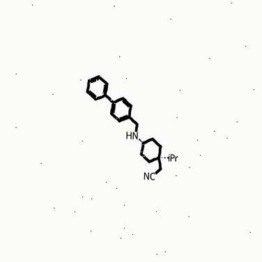 CC(C)[C@]1(CC#N)CC[C@H](NCc2ccc(-c3ccccc3)cc2)CC1